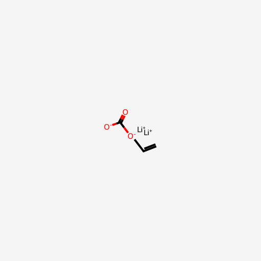 C=CC.O=C([O-])[O-].[Li+].[Li+]